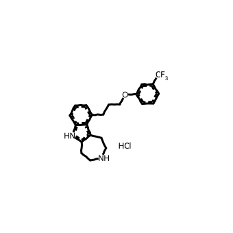 Cl.FC(F)(F)c1cccc(OCCCc2cccc3[nH]c4c(c23)CCNCC4)c1